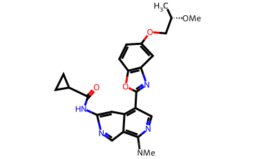 CNc1ncc(-c2nc3cc(OC[C@H](C)OC)ccc3o2)c2cc(NC(=O)C3CC3)ncc12